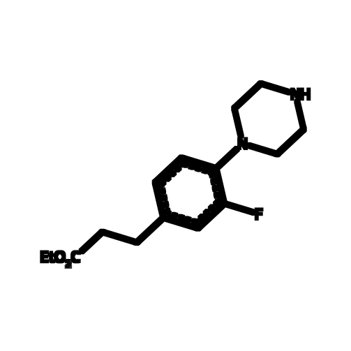 CCOC(=O)CCc1ccc(N2CCNCC2)c(F)c1